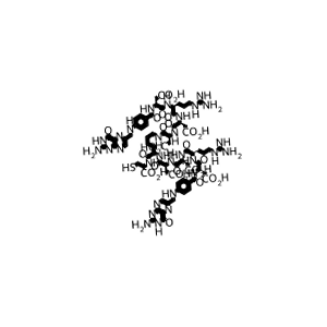 N=C(N)NCCC[C@H](NC(=O)[C@H](CC(=O)O)NC(=O)c1ccc(NCc2cnc3nc(N)[nH]c(=O)c3n2)cc1)C(=O)N[C@@H](CC(=O)O)C(=O)N[C@@H](CC(=O)O)C(=O)NCCCCC(NC(=O)[C@H](CC(=O)O)NC(=O)[C@H](CC(=O)O)NC(=O)[C@H](CCCNC(=N)N)NC(=O)[C@H](CC(=O)O)NC(=O)c1ccc(NCc2cnc3nc(N)[nH]c(=O)c3n2)cc1)C(=O)N[C@H](CS)C(=O)O